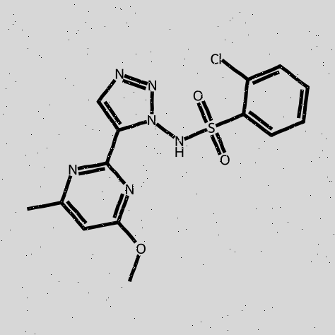 COc1cc(C)nc(-c2cnnn2NS(=O)(=O)c2ccccc2Cl)n1